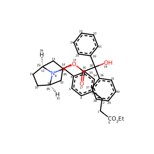 CCOC(=O)CCc1ccc(CN2[C@@H]3CC[C@H]2C[C@@H](OC(=O)C(O)(c2ccccc2)c2ccccc2)C3)cc1